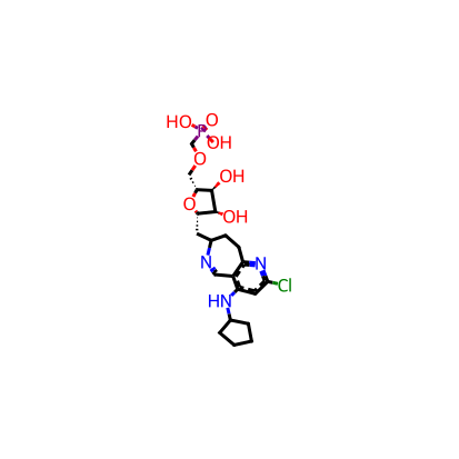 O=P(O)(O)COC[C@H]1O[C@@H](CC2CCc3nc(Cl)cc(NC4CCCC4)c3C=N2)[C@H](O)[C@@H]1O